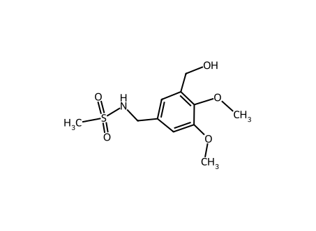 COc1cc(CNS(C)(=O)=O)cc(CO)c1OC